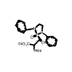 C=C(C(CCCCCC)C(=O)OCC)P1(=O)N(c2ccccc2)CCN1c1ccccc1